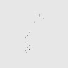 NCCOCC1CCN(c2ccc(N3CCC(=O)NC3=O)cc2)CC1